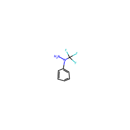 NN(c1ccccc1)C(F)(F)F